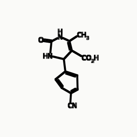 CC1=C(C(=O)O)C(c2ccc(C#N)cc2)NC(=O)N1